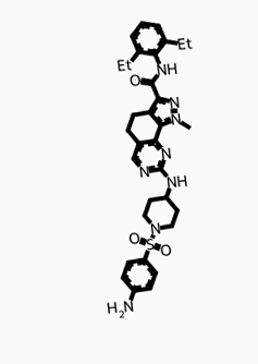 CCc1cccc(CC)c1NC(=O)c1nn(C)c2c1CCc1cnc(NC3CCN(S(=O)(=O)c4ccc(N)cc4)CC3)nc1-2